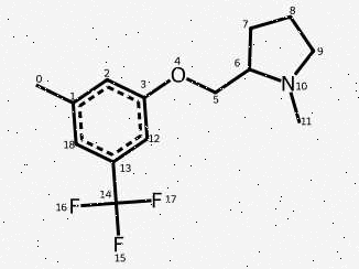 Cc1cc(OCC2CCCN2C)cc(C(F)(F)F)c1